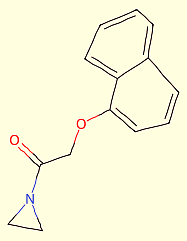 O=C(COc1cccc2ccccc12)N1CC1